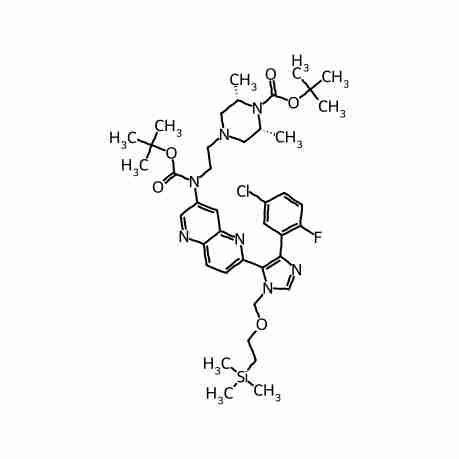 C[C@@H]1CN(CCN(C(=O)OC(C)(C)C)c2cnc3ccc(-c4c(-c5cc(Cl)ccc5F)ncn4COCC[Si](C)(C)C)nc3c2)C[C@H](C)N1C(=O)OC(C)(C)C